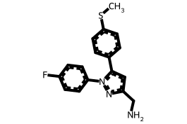 CSc1ccc(-c2cc(CN)nn2-c2ccc(F)cc2)cc1